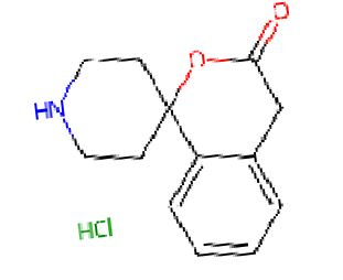 Cl.O=C1Cc2ccccc2C2(CCNCC2)O1